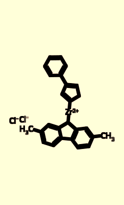 Cc1ccc2c(c1)[CH]([Zr+2][C]1=CC(c3ccccc3)=CC1)c1cc(C)ccc1-2.[Cl-].[Cl-]